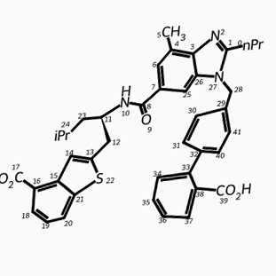 CCCc1nc2c(C)cc(C(=O)N[C@@H](Cc3cc4c(C(=O)O)cccc4s3)CC(C)C)cc2n1Cc1ccc(-c2ccccc2C(=O)O)cc1